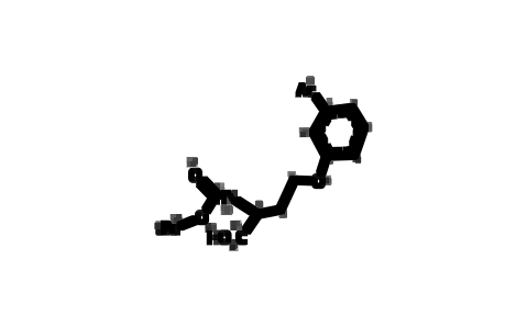 CC(=O)c1cccc(OCCC(NC(=O)OC(C)(C)C)C(=O)O)c1